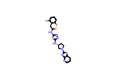 O=C(Cc1c(F)cccc1F)Nc1nnc(N[C@@H]2CCN(c3nc4ncccc4s3)C2)s1